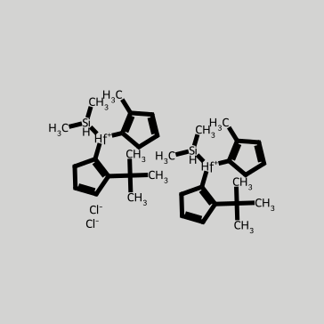 CC1=[C]([Hf+]([C]2=C(C(C)(C)C)C=CC2)[SiH](C)C)CC=C1.CC1=[C]([Hf+]([C]2=C(C(C)(C)C)C=CC2)[SiH](C)C)CC=C1.[Cl-].[Cl-]